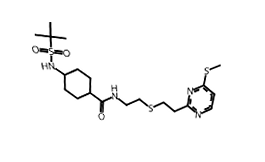 CSc1ccnc(CCSCCNC(=O)C2CCC(NS(=O)(=O)C(C)(C)C)CC2)n1